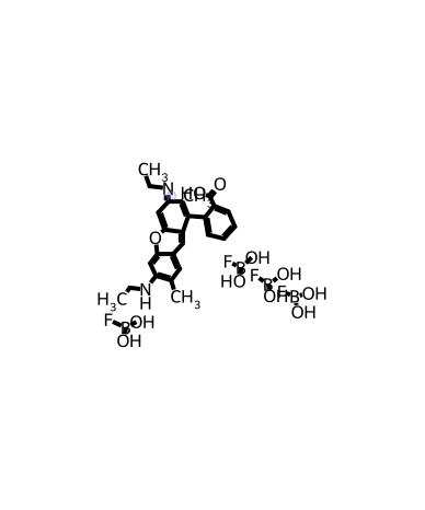 CC/N=c1\cc2oc3cc(NCC)c(C)cc3cc-2c(-c2ccccc2C(=O)O)c1C.OB(O)F.OB(O)F.OB(O)F.OB(O)F